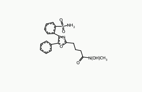 CN(O)C(=O)CCCc1nc(-c2ccccc2S(N)(=O)=O)c(-c2ccccc2)o1